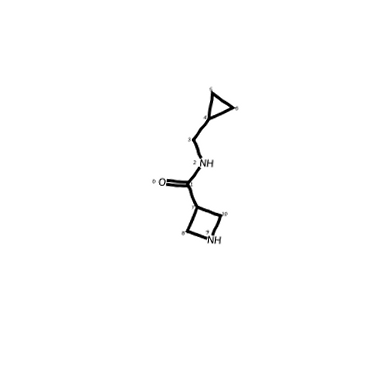 O=C(NCC1CC1)C1CNC1